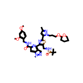 COc1ccc(CNC(=O)c2cc3c(cnn3C)c(-c3nc(-c4cc(C)nn4CCCOC4CCCCO4)sc3CN[S+]([O-])C(C)(C)C)n2)c(OC)c1